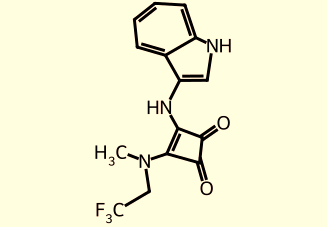 CN(CC(F)(F)F)c1c(Nc2c[nH]c3ccccc23)c(=O)c1=O